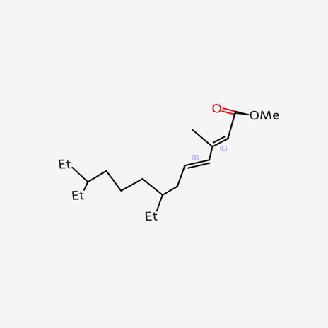 CCC(CC)CCCC(CC)C/C=C/C(C)=C/C(=O)OC